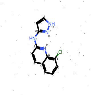 Clc1cccc2ccc(Nc3cc[nH]n3)nc12